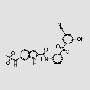 CS(=O)(=O)Nc1ccc2cc(C(=O)Nc3cccc(S(=O)(=O)c4cc(O)cc(C#N)c4)c3)[nH]c2c1